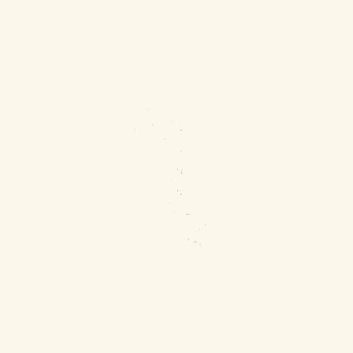 O=C(NCCc1ccc(O)c(O)c1)NCc1ccc(O)c(O)c1